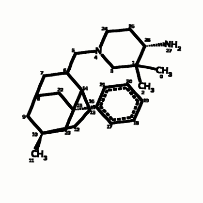 CC1(C)CN(CC2CC3C[C@]4(C)CCC2[C@](c2ccccc2)(C3)C4)CC[C@@H]1N